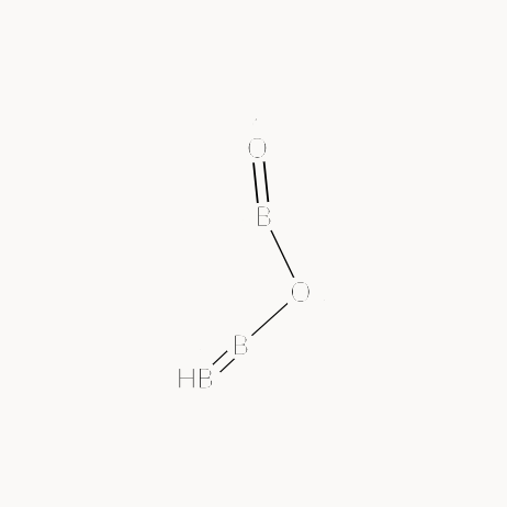 B=BOB=O